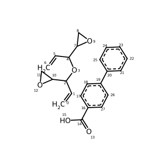 C=CC(OC(C=C)C1CO1)C1CO1.O=C(O)c1ccc(-c2ccccc2)cc1